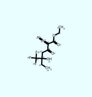 CCOC(=O)C(=[N+]=[N-])C(=O)CC(O)(CC)C(F)(F)F